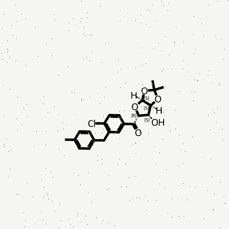 Cc1ccc(Cc2cc(C(=O)[C@@H]3O[C@H]4OC(C)(C)O[C@H]4[C@@H]3O)ccc2Cl)cc1